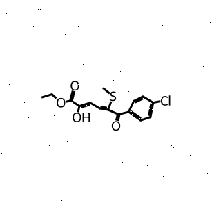 CCOC(=O)C(O)=CC=C(SC)C(=O)c1ccc(Cl)cc1